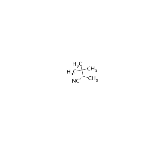 C[C@H](C#N)C(C)(C)C